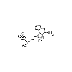 CCc1nc2c(N)nc3ccccc3c2n1CCCCN(C(C)=O)C1=CS(=O)(=O)C1